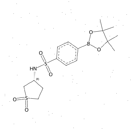 CC1(C)OB(c2ccc(S(=O)(=O)N[C@@H]3CCS(=O)(=O)C3)cc2)OC1(C)C